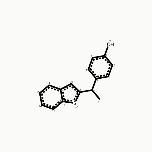 CC(c1ccc(O)cc1)c1cc2ccccc2s1